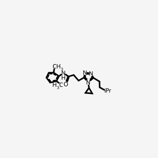 Cc1cccc(C)c1NC(=O)CCc1nnc(CCC(C)C)n1C1CC1